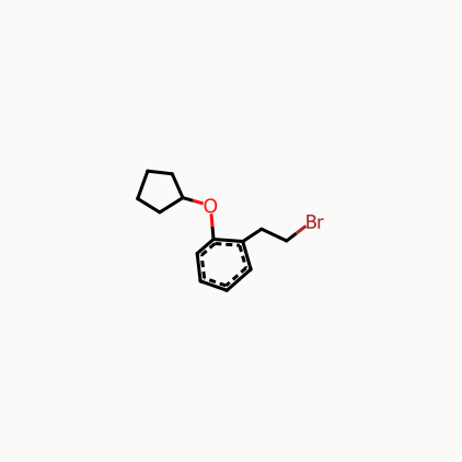 BrCCc1ccccc1OC1CCCC1